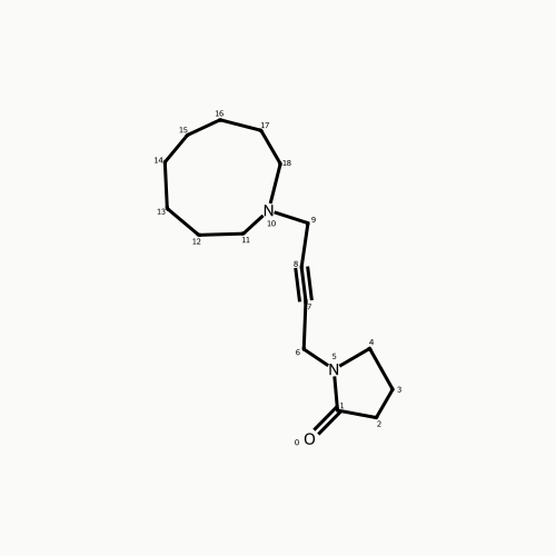 O=C1CCCN1CC#CCN1CCCCCCCC1